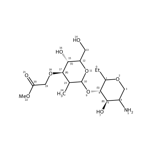 CCC1OCC(N)[C@@H](O)[C@@H]1OC1OC(CO)[C@@H](O)[C@H](OCC(=O)OC)C1C